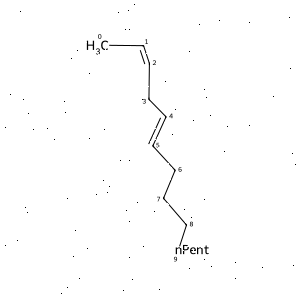 C/C=C\CC=CCCCCCCCC